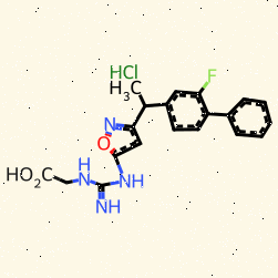 CC(c1ccc(-c2ccccc2)c(F)c1)c1cc(NC(=N)NCC(=O)O)on1.Cl